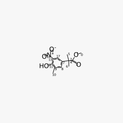 COC(=O)C(C)(C)c1cc(C)c(O)c([N+](=O)[O-])c1